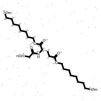 CCCCCCCCCCCCCCCCCCOC(=O)CC[C@H](NC(=O)CCCCCCCCCCC)C(=O)OCCCCCCCCCCCCCCCCCC